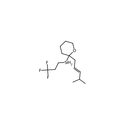 CC(C)C=CCC1([SiH2]CCC(F)(F)F)CCCCO1